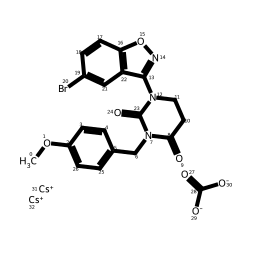 COc1ccc(CN2C(=O)CCN(c3noc4ccc(Br)cc34)C2=O)cc1.O=C([O-])[O-].[Cs+].[Cs+]